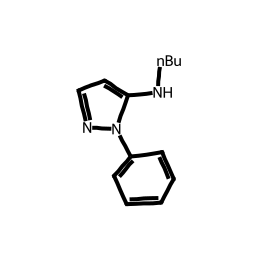 CCCCNc1ccnn1-c1ccccc1